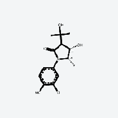 C[C@H]1[C@@H](O)C(C(C)(C)O)C(=O)N1c1ccc(C#N)c(Cl)c1